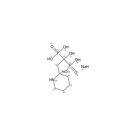 O=P(O)(O)C(O)(CC1CCCCN1)P(=O)(O)O.[NaH]